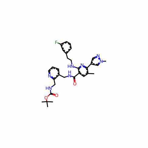 Cc1cc(C(=O)NCc2cccnc2CNC(=O)OC(C)(C)C)c(NCCc2cccc(F)c2)nc1-c1cnn(C)c1